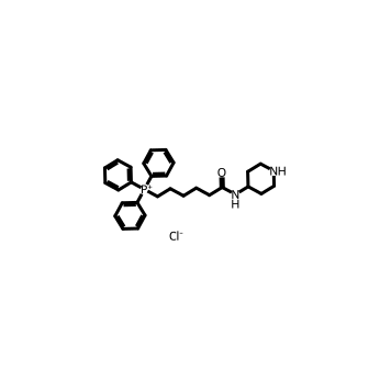 O=C(CCCCC[P+](c1ccccc1)(c1ccccc1)c1ccccc1)NC1CCNCC1.[Cl-]